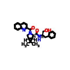 CC1(C)[C@@H]2[C@@H](C(=O)N[C@@H](CO)Cc3ccccc3)N(C(=O)c3ccc4ccccc4n3)C[C@@H]21